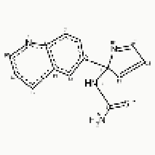 NC(=S)NC1(c2ccc3ncccc3c2)C=CC=N1